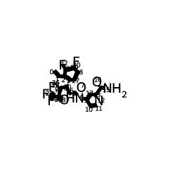 C=Cc1c([C@@H]2[C@@H](C(=O)Nc3ccnc(C(N)=O)c3)O[C@](C)(C(F)(F)F)[C@H]2C)ccc(F)c1F